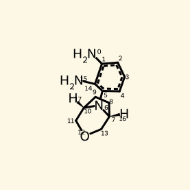 Nc1cccc(N2[C@@H]3CC[C@H]2COC3)c1N